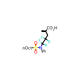 C=C(CC(F)(F)C(F)(F)N(C(C)C)S(=O)(=O)CCCCCCCC)C(=O)O